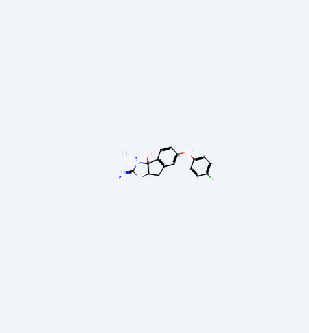 C/N=C1\SC2Cc3cc(Oc4ccc(Cl)cc4)ccc3C2(O)N1C